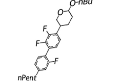 CCCCCc1ccc(-c2ccc(C3CCC(OCCCC)OC3)c(F)c2F)c(F)c1